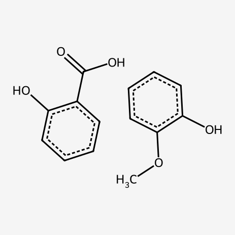 COc1ccccc1O.O=C(O)c1ccccc1O